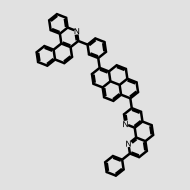 C1=CC2=C(c3cccc(-c4nc5ccccc5c5c4ccc4ccccc45)c3)C=CC3=CC=C4C(c5cnc6c(ccc7ccc(-c8ccccc8)nc76)c5)=CC=C1C4C32